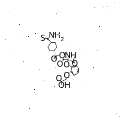 CNC(Oc1ccccc1OCC(=O)O)(C(C)=O)C(=O)OC(=O)[C@H]1CC[C@H](C(N)=S)CC1